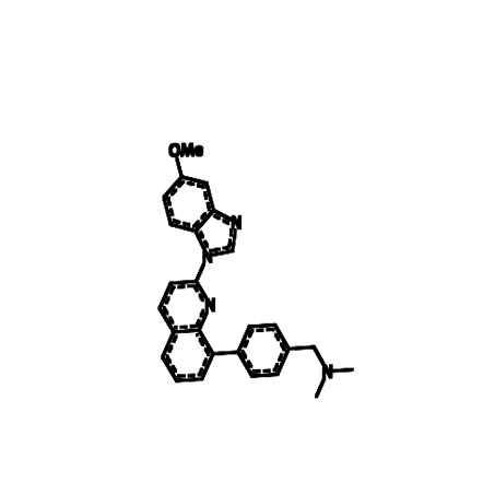 COc1ccc2c(c1)ncn2-c1ccc2cccc(-c3ccc(CN(C)C)cc3)c2n1